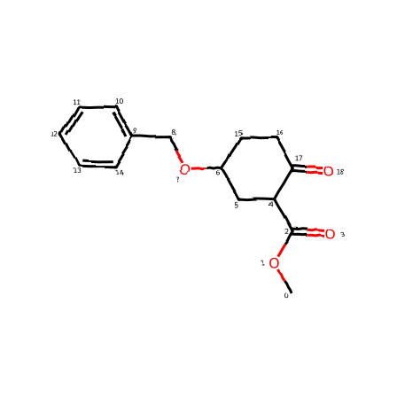 COC(=O)C1CC(OCc2ccccc2)CCC1=O